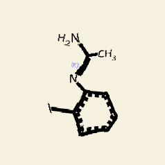 C/C(N)=N\c1ccccc1I